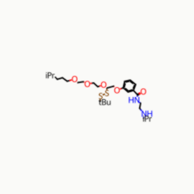 CC(C)CCCOCCOCCOC(COc1cccc(C(=O)NCCNC(C)C)c1)SSC(C)(C)C